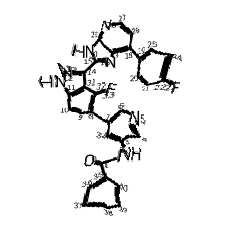 O=C(Nc1cncc(-c2ccc3[nH]nc(-c4nc5c(-c6ccc(F)cc6)ccnc5[nH]4)c3c2F)c1)c1ccccc1